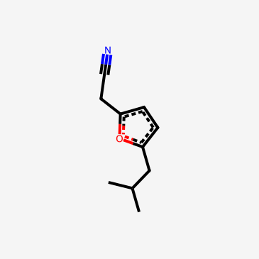 CC(C)Cc1ccc(CC#N)o1